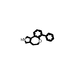 [c]1cccc(-c2cccc3c2OCCC2CNCC32)c1